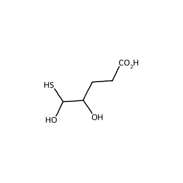 O=C(O)CCC(O)C(O)S